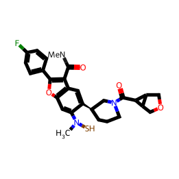 CNC(=O)c1c(-c2ccc(F)cc2)oc2cc(N(C)S)c([C@@H]3CCCN(C(=O)C4C5COCC54)C3)cc12